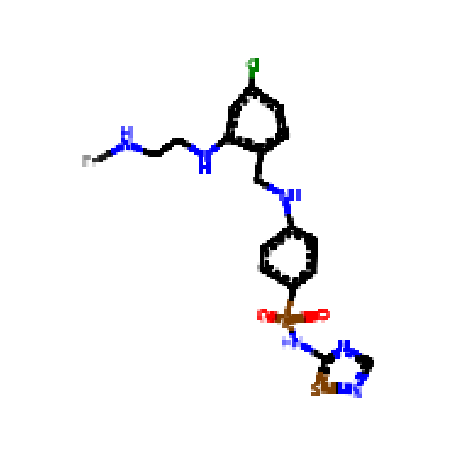 CCNCCNc1cc(Cl)ccc1CNc1ccc(S(=O)(=O)Nc2ncns2)cc1